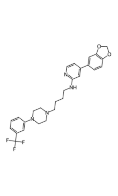 FC(F)(F)c1cccc(N2CCN(CCCCNc3cc(-c4ccc5c(c4)OCO5)ccn3)CC2)c1